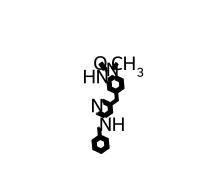 Cn1c(=O)[nH]c2cc(Cc3cncc(NCc4ccccc4)c3)ccc21